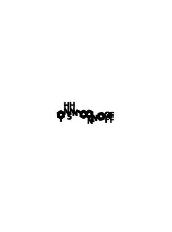 Cc1cccc(NC(=S)N/N=C/c2ccc3c(ccc4c3ncn4-c3ccc(OC(F)(F)F)cc3)c2)c1